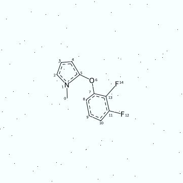 Cn1c[c]cc1Oc1cccc(F)c1F